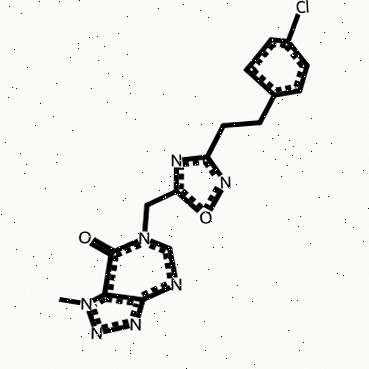 Cn1nnc2ncn(Cc3nc(CCc4ccc(Cl)cc4)no3)c(=O)c21